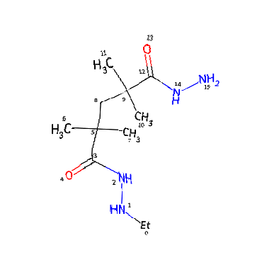 CCNNC(=O)C(C)(C)CC(C)(C)C(=O)NN